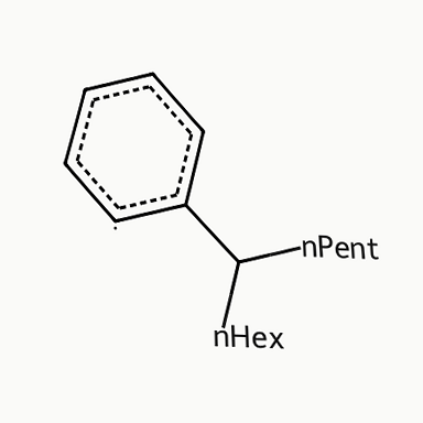 CCCCCCC(CCCCC)c1[c]cccc1